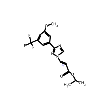 COc1cc(-c2ncn(/C=C/C(=O)OC(C)C)n2)cc(C(F)(F)F)c1